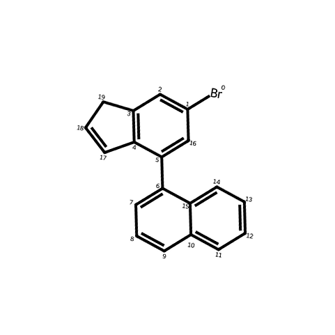 Brc1cc2c(c(-c3cccc4ccccc34)c1)C=CC2